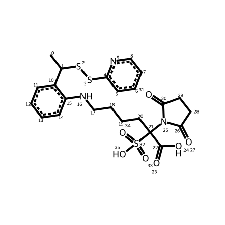 CC(SSc1ccccn1)c1ccccc1NCCCCC(C(=O)O)(N1C(=O)CCC1=O)S(=O)(=O)O